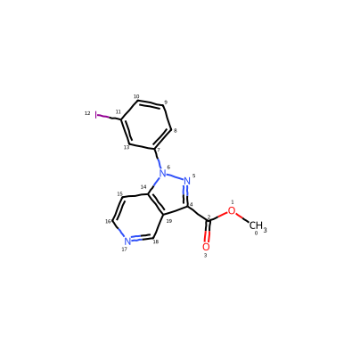 COC(=O)c1nn(-c2cccc(I)c2)c2ccncc12